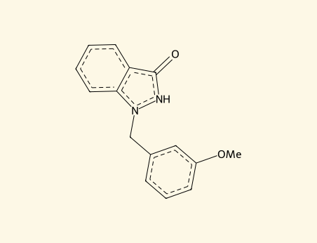 COc1cccc(Cn2[nH]c(=O)c3ccccc32)c1